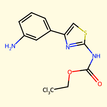 Nc1cccc(-c2csc(NC(=O)OCC(Cl)(Cl)Cl)n2)c1